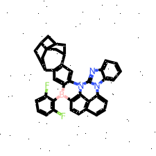 Fc1cccc(F)c1B1c2cc3c(cc2-n2c4c1ccc1cccc(c14)n1c4ccccc4nc21)C1CC2CC4CC3CC42C1